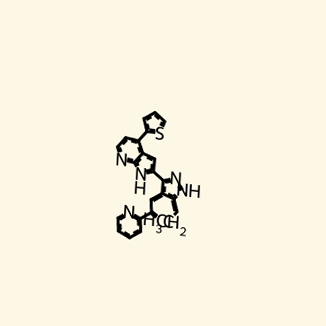 C=C(/C=c1/c(-c2cc3c(-c4cccs4)ccnc3[nH]2)n[nH]/c1=C/C)c1ccccn1